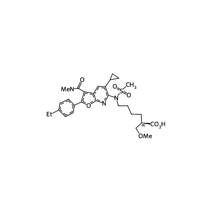 CCc1ccc(-c2oc3nc(N(CCCC[C@H](COC)C(=O)O)S(C)(=O)=O)c(C4CC4)cc3c2C(=O)NC)cc1